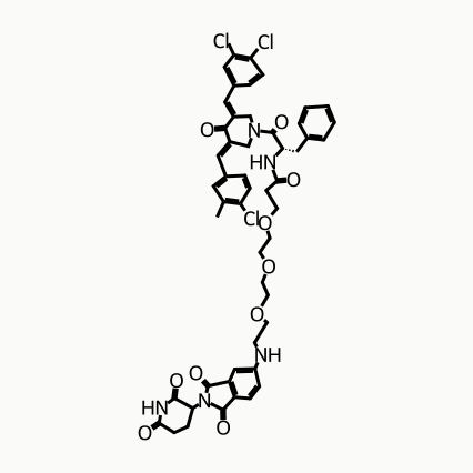 Cc1cc(/C=C2\CN(C(=O)[C@H](Cc3ccccc3)NC(=O)CCOCCOCCOCCNc3ccc4c(c3)C(=O)N(C3CCC(=O)NC3=O)C4=O)C/C(=C\c3ccc(Cl)c(Cl)c3)C2=O)ccc1Cl